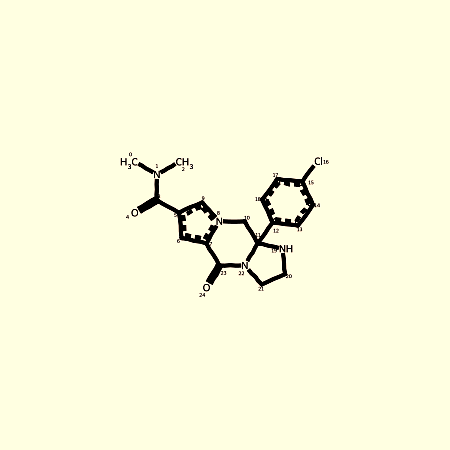 CN(C)C(=O)c1cc2n(c1)CC1(c3ccc(Cl)cc3)NCCN1C2=O